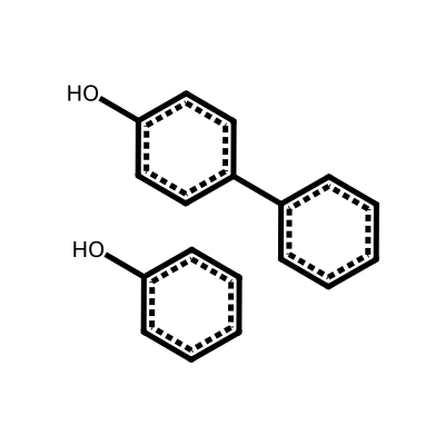 Oc1ccc(-c2ccccc2)cc1.Oc1ccccc1